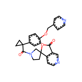 O=C1OC2(CCN(C(=O)C3(c4ccc(OCc5ccncc5)cc4)CC3)C2)c2ccncc21